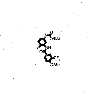 COc1ccc(C(=O)Nc2cc(NC(=O)OC(C)(C)C)ccc2F)cc1C(F)(F)F